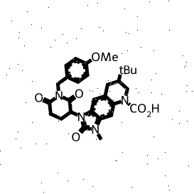 COc1ccc(CN2C(=O)CCC(n3c(=O)n(C)c4cc5c(cc43)CC(C(C)(C)C)CN5C(=O)O)C2=O)cc1